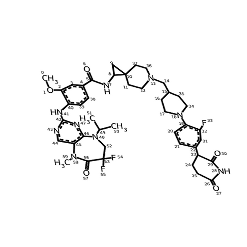 COc1cc(C(=O)NC2CC23CCN(CC2CCN(c4ccc(C5CCC(=O)NC5=O)cc4F)CC2)CC3)ccc1Nc1ncc2c(n1)N(C(C)C)CC(F)(F)C(=O)N2C